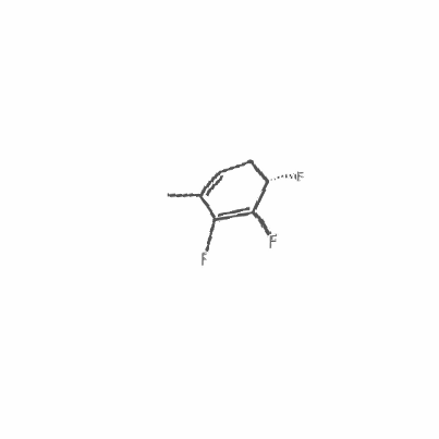 CC1=CC[C@H](F)C(F)=C1F